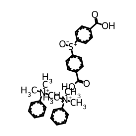 C[N+](C)(C)c1ccccc1.C[N+](C)(C)c1ccccc1.O=C(O)c1ccc([S+]([O-])c2ccc(C(=O)O)cc2)cc1